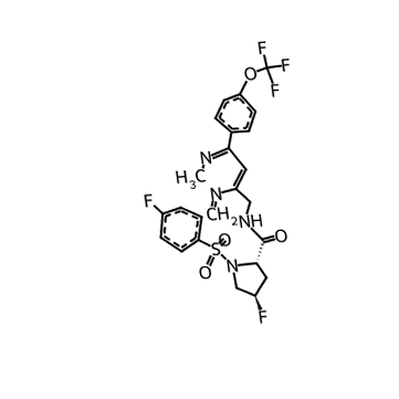 C=N/C(=C\C(=N/C)c1ccc(OC(F)(F)F)cc1)CNC(=O)[C@@H]1C[C@@H](F)CN1S(=O)(=O)c1ccc(F)cc1